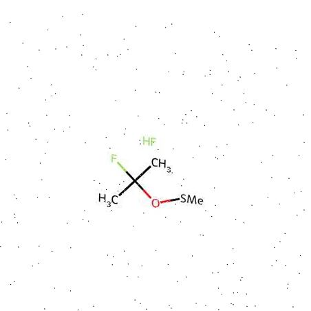 CSOC(C)(C)F.F